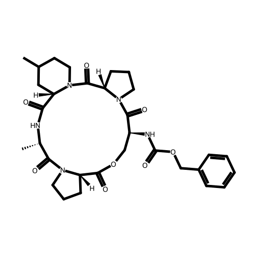 CC1CCN2C(=O)[C@@H]3CCCN3C(=O)[C@@H](NC(=O)OCc3ccccc3)COC(=O)[C@@H]3CCCN3C(=O)[C@H](C)NC(=O)[C@@H]2C1